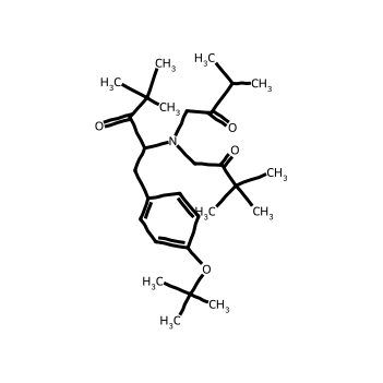 CC(C)C(=O)CN(CC(=O)C(C)(C)C)C(Cc1ccc(OC(C)(C)C)cc1)C(=O)C(C)(C)C